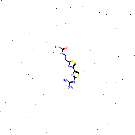 NC(=O)NCCc1nc(-c2csc(N=C(N)N)n2)cs1